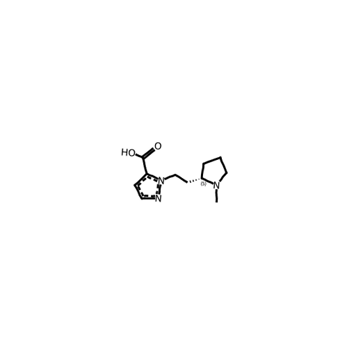 CN1CCC[C@H]1CCn1nccc1C(=O)O